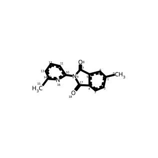 Cc1ccc2c(c1)C(=O)N(c1cccc(C)n1)C2=O